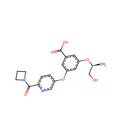 C[C@@H](CO)Oc1cc(Oc2ccc(C(=O)N3CCC3)nc2)cc(C(=O)O)c1